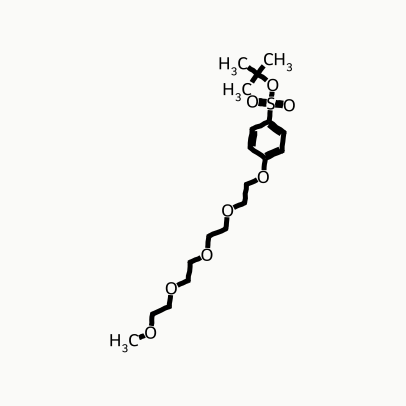 COCCOCCOCCOCCOc1ccc(S(=O)(=O)OC(C)(C)C)cc1